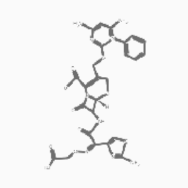 Nc1cc(N)[n+](-c2ccccc2)c(SCC2=C(C(=O)[O-])N3C(=O)C(NC(=O)/C(=N\OCC(=O)O)c4csc(N)n4)[C@H]3SC2)n1